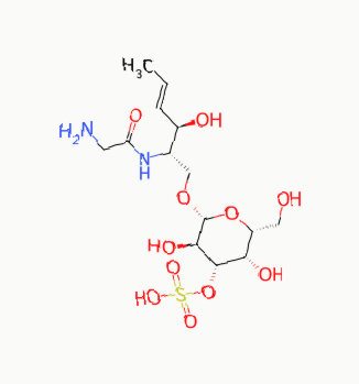 C/C=C/[C@@H](O)[C@H](CO[C@@H]1O[C@H](CO)[C@H](O)[C@H](OS(=O)(=O)O)[C@H]1O)NC(=O)CN